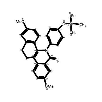 COc1ccc2c(c1)CCc1c-2n(-c2ccc(O[Si](C)(C)C(C)(C)C)cc2)c(=O)c2cc(OC)ccc12